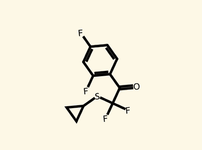 O=C(c1ccc(F)cc1F)C(F)(F)SC1CC1